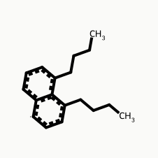 CCCCc1cc[c]c2cccc(CCCC)c12